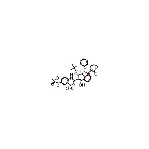 CC(C)(C)CC[C@@]1(NC(=O)N2C(=O)OC[C@H]2c2ccccc2)C(=O)C(C2=NS(=O)(=O)c3cc(NS(C)(=O)=O)ccc3N2)=C(O)c2ccccc21